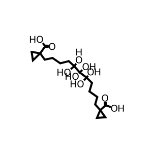 O=C(O)C1(CCCCC(O)(O)C(O)(O)C(O)(O)CCCCC2(C(=O)O)CC2)CC1